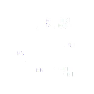 C1CNCCNCCCNCCNC1.Cl.Cl.Cl.Cl